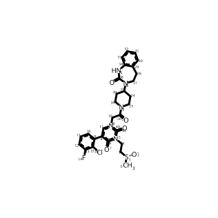 C[S+]([O-])CCn1c(=O)c(-c2cccc(F)c2Cl)cn(CC(=O)N2CCC(N3CCc4ccccc4NC3=O)CC2)c1=O